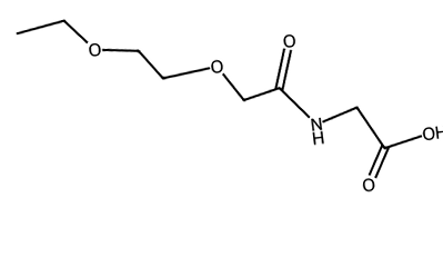 CCOCCOCC(=O)NCC(=O)O